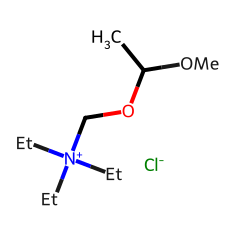 CC[N+](CC)(CC)COC(C)OC.[Cl-]